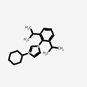 CC(C)c1cccc(C(C)C)c1-n1cc[n+](C2CCCCC2)c1